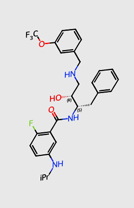 CC(C)Nc1ccc(F)c(C(=O)N[C@@H](Cc2ccccc2)[C@H](O)CNCc2cccc(OC(F)(F)F)c2)c1